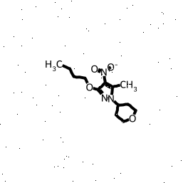 CCCCOc1nn(C2CCOCC2)c(C)c1[N+](=O)[O-]